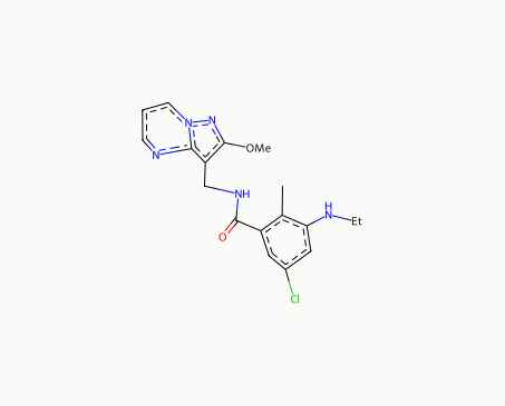 CCNc1cc(Cl)cc(C(=O)NCc2c(OC)nn3cccnc23)c1C